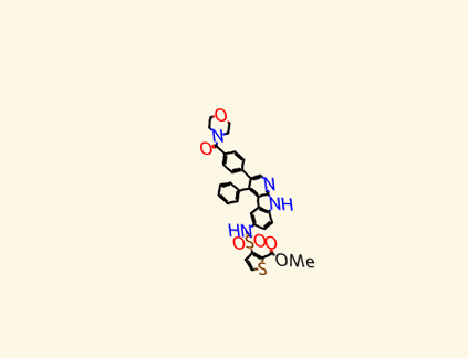 COC(=O)c1sccc1S(=O)(=O)Nc1ccc2[nH]c3ncc(-c4ccc(C(=O)N5CCOCC5)cc4)c(-c4ccccc4)c3c2c1